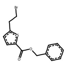 O=C(OCc1ccccc1)c1ccc(CCBr)s1